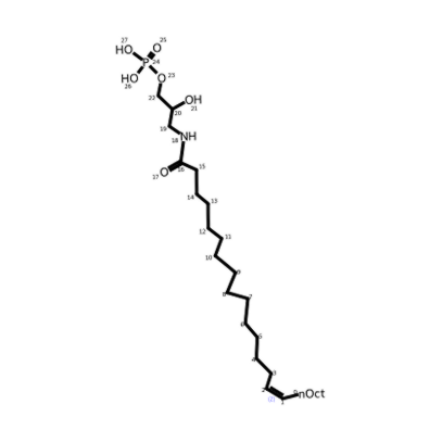 CCCCCCCC/C=C\CCCCCCCCCCCCCC(=O)NCC(O)COP(=O)(O)O